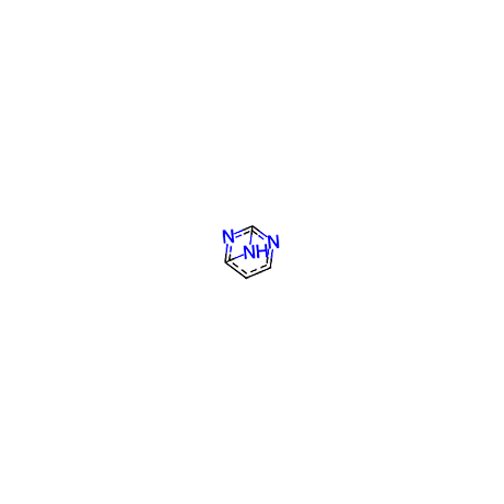 c1cc2nc(n1)N2